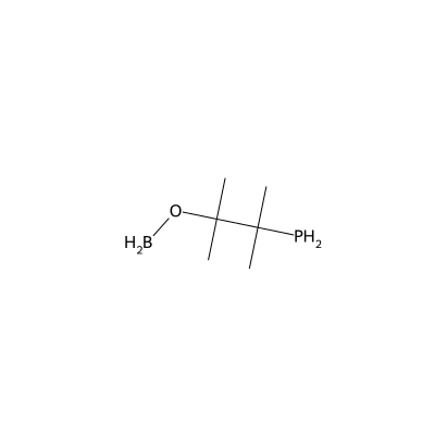 BOC(C)(C)C(C)(C)P